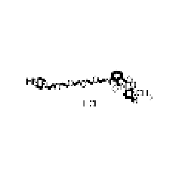 CN1C(=O)CCC(N2C(=O)c3cccc(NCCOCCOCCOCCOCCN4CCNCC4)c3C2=O)C1=O.Cl